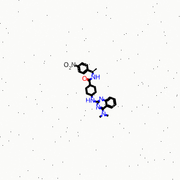 C[C@@H](NC(=O)C1CCC(Nc2nc(N(C)C)c3ccccc3n2)CC1)c1ccc([N+](=O)[O-])cc1